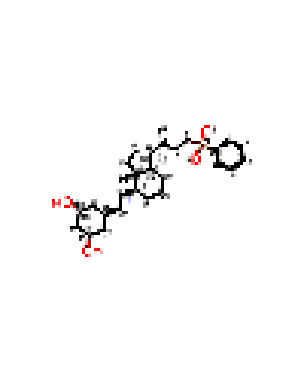 C[C@H](CCS(=O)(=O)c1ccccc1)[C@H]1CC[C@H]2/C(=C/C=C3C[C@@H](O)C[C@H](O)C3)CCC[C@]12C